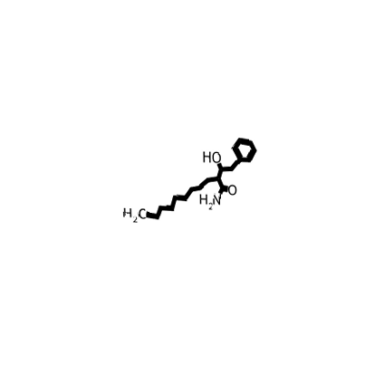 C=CCCCCCCCC(C(N)=O)C(O)Cc1ccccc1